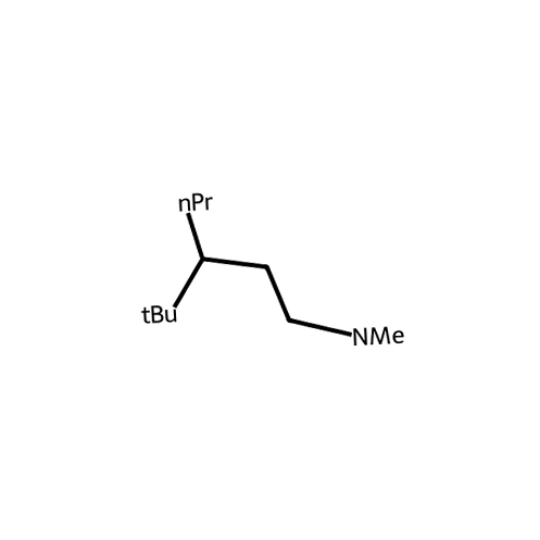 CCCC(CCNC)C(C)(C)C